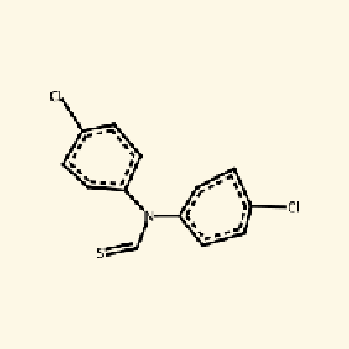 S=CN(c1ccc(Cl)cc1)c1ccc(Cl)cc1